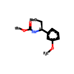 COC[C@H](NC(=O)OC(C)(C)C)c1cccc(OC(F)(F)F)c1